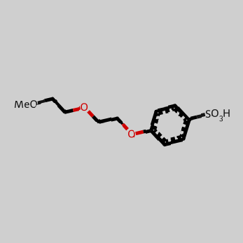 COCCOCCOc1ccc(S(=O)(=O)O)cc1